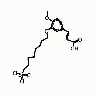 COc1ccc(C=CC(=O)O)cc1OCCCCCCCC[Si](Cl)(Cl)Cl